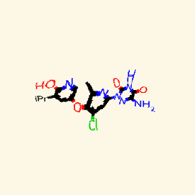 Cc1nc(-n2nc(N)c(=O)[nH]c2=O)cc(Cl)c1Oc1cnc(O)c(C(C)C)c1